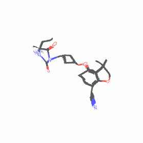 CC[C@@]1(C)NC(=O)N(C2CC(Oc3ccc(C#N)c4c3C(C)(C)CO4)C2)C1=O